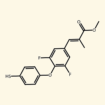 COC(=O)/C(C)=C/c1cc(F)c(Oc2ccc(S)cc2)c(F)c1